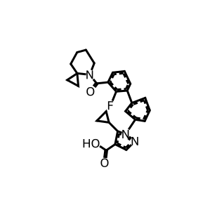 O=C(O)c1cnn(-c2cccc(-c3cccc(C(=O)N4CCCCC45CC5)c3F)c2)c1C1CC1